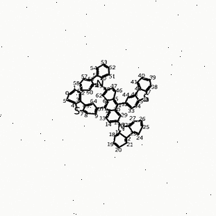 c1ccc2c(c1)sc1ccc(-c3c4ccc(-n5c6ccccc6c6ccccc65)cc4c(-c4ccc5sc6ccccc6c5c4)c4ccc(-n5c6ccccc6c6ccccc65)cc34)cc12